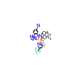 CCN(C(=O)c1cc(C#N)ccc1-n1nccn1)C(C)COc1ncc(C(F)(F)F)cc1F